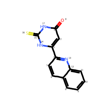 O=c1cc(-c2ccc3ccccc3n2)[nH]c(=S)[nH]1